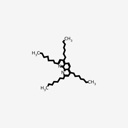 CCCCCCCc1cc(CCCCCCC)c2ccc3c(CCCCCCC)cc(CCCCCCC)nc3c2n1